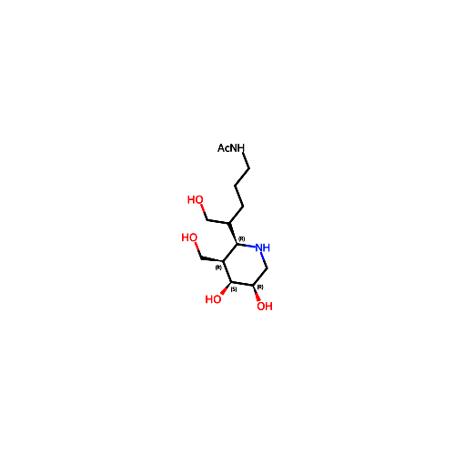 CC(=O)NCCCC(CO)[C@H]1NC[C@@H](O)[C@@H](O)[C@H]1CO